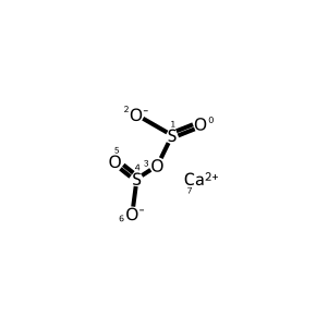 O=S([O-])OS(=O)[O-].[Ca+2]